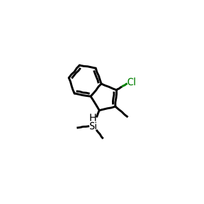 CC1=C(Cl)c2ccccc2C1[SiH](C)C